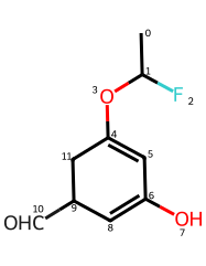 CC(F)OC1=CC(O)=CC(C=O)C1